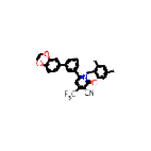 Cc1ccc(Cn2c(-c3cccc(-c4ccc5c(c4)OCCO5)c3)cc(C(F)(F)F)c(C#N)c2=O)c(C)c1